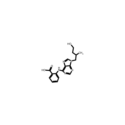 CC(CCO)Cn1cnc2c(Nc3ccccc3C(=O)O)ncnc21